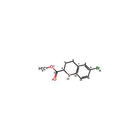 COC(=O)C1CCc2cc(Br)ccc2S1